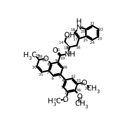 COc1cc(-c2cc3c(c(C(=O)N[C@@H](CO)Cc4c[nH]c5ccccc45)c2)OC(C)C=C3)cc(OC)c1OC